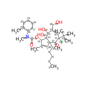 CCCC[C@@H](C)C12C=C(C)C(OC(=O)N(C)c3ccccc3C)C1(O)C(O)C(CO)=CC(F)(C(C)(C)C)C2=O